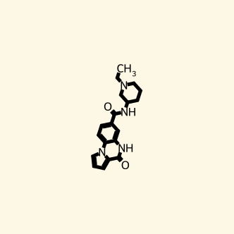 CCN1CCCC(NC(=O)c2ccc3c(c2)[nH]c(=O)c2cccn23)C1